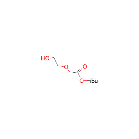 CCC(C)OC(=O)COCCO